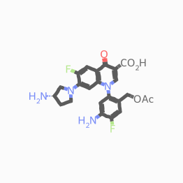 CC(=O)OCc1cc(F)c(N)cc1-n1cc(C(=O)O)c(=O)c2cc(F)c(N3CC[C@H](N)C3)cc21